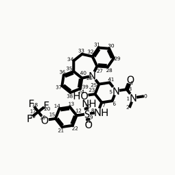 CN(C)C(=O)N1CC(NS(=N)(=O)c2ccc(OC(F)(F)F)cc2)C(O)C(N2c3ccccc3CCc3ccccc32)C1